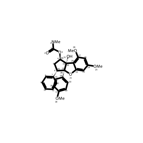 CNC(=O)O[C@@H]1C[C@@H](c2ccccc2)[C@]2(c3ccc(OC)cc3)Oc3cc(OC)cc(OC)c3[C@]12O